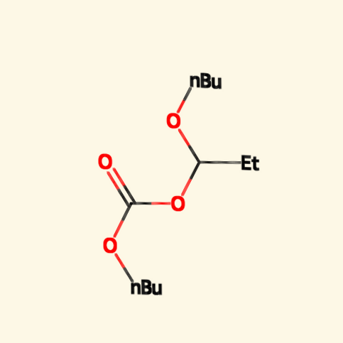 CCCCOC(=O)OC(CC)OCCCC